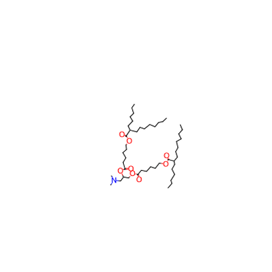 CCCCCCCCC(CCCCCC)C(=O)OCCCCCC(=O)OCC(CN(C)C)OC(=O)CCCCCOC(=O)C(CCCCCC)CCCCCCCC